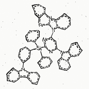 c1ccc([Si](c2ccccc2)(c2cccc(-n3c4ccccc4c4ccccc43)c2)c2nc(-n3c4ccccc4c4ccccc43)cc(-n3c4ccccc4n4c5ccccc5nc34)n2)cc1